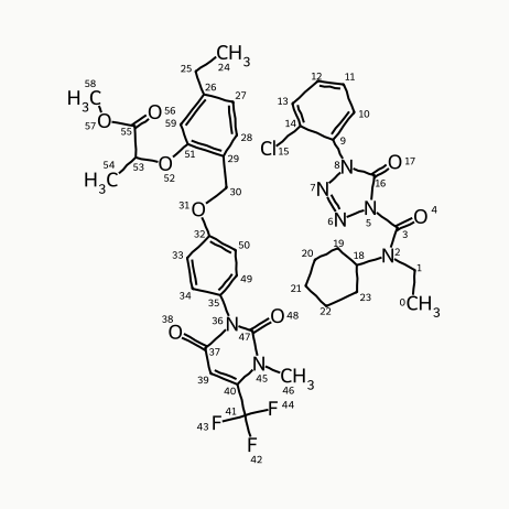 CCN(C(=O)n1nnn(-c2ccccc2Cl)c1=O)C1CCCCC1.CCc1ccc(COc2ccc(-n3c(=O)cc(C(F)(F)F)n(C)c3=O)cc2)c(OC(C)C(=O)OC)c1